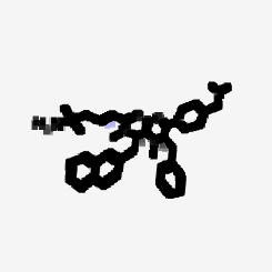 CN(C)CC1CCN(C(=O)[C@@H](Cc2ccccc2)N(C)C(=O)[C@@H](Cc2ccc3ccccc3c2)N(C)C(=O)/C=C/CC(C)(C)N)CC1